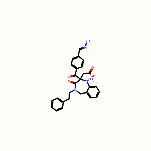 NN=Cc1ccc(C(=O)C2(CC(=O)O)C(=O)N(CCc3ccccc3)Cc3ccccc3N2N)cc1